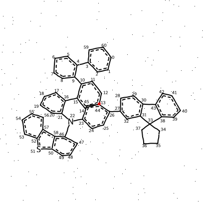 c1ccc(-c2ccccc2-c2ccccc2-c2ccccc2N(c2ccc(-c3ccc4c(c3)C3(CCCC3)c3ccccc3-4)cc2)c2cccc3sc4ccccc4c23)cc1